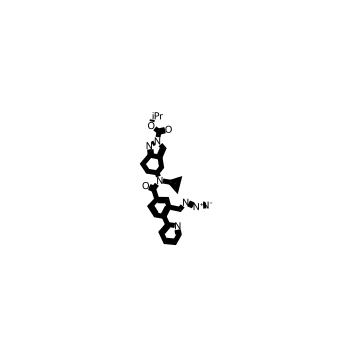 CC(C)OC(=O)n1cc2c(n1)CCC(N(C(=O)c1ccc(-c3ccccn3)c(CN=[N+]=[N-])c1)C1CC1)C2